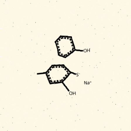 Cc1ccc([S-])c(O)c1.Oc1ccccc1.[Na+]